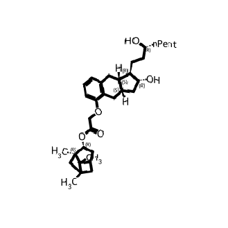 CCCCC[C@@H](O)CC[C@@H]1[C@H]2Cc3cccc(OCC(=O)O[C@@H]4CC5CC6(C)C[C@]4(C)C56C)c3C[C@H]2C[C@H]1O